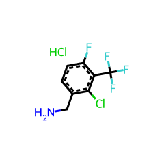 Cl.NCc1ccc(F)c(C(F)(F)F)c1Cl